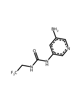 Bc1cncc(NC(=O)NCC(F)(F)F)c1